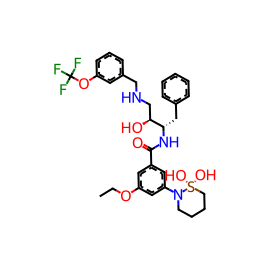 CCOc1cc(C(=O)N[C@@H](Cc2ccccc2)[C@@H](O)CNCc2cccc(OC(F)(F)F)c2)cc(N2CCCCS2(O)O)c1